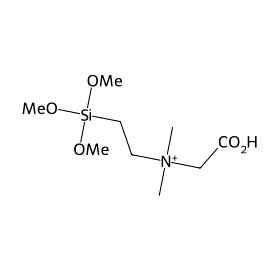 CO[Si](CC[N+](C)(C)CC(=O)O)(OC)OC